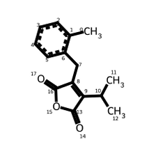 Cc1ccccc1CC1=C(C(C)C)C(=O)OC1=O